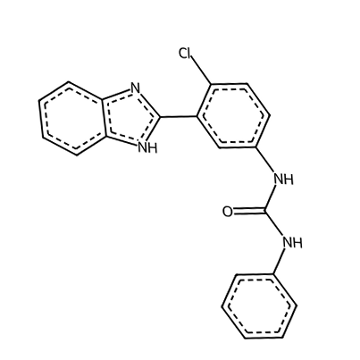 O=C(Nc1ccccc1)Nc1ccc(Cl)c(-c2nc3ccccc3[nH]2)c1